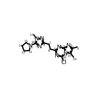 Cc1nc2nc(CCc3nc(N4CCCC4)n(C)n3)nc(Cl)n2c1C